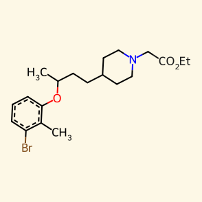 CCOC(=O)CN1CCC(CCC(C)Oc2cccc(Br)c2C)CC1